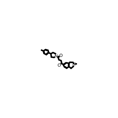 Cc1ccc(C2CCN(C(=O)CCC(=O)c3ccc4c(c3)CCN(C)CC4)CC2)cc1